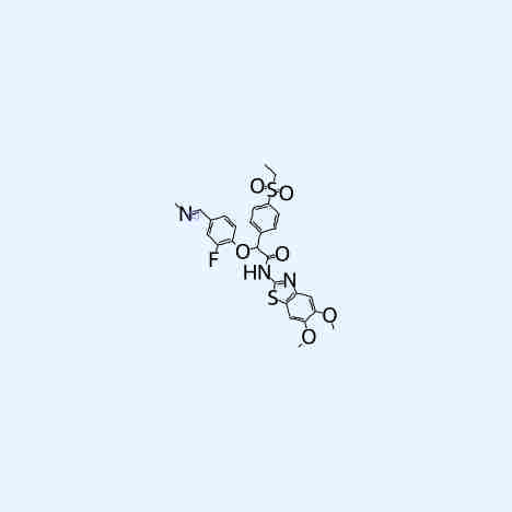 CCS(=O)(=O)c1ccc(C(Oc2ccc(/C=N/C)cc2F)C(=O)Nc2nc3cc(OC)c(OC)cc3s2)cc1